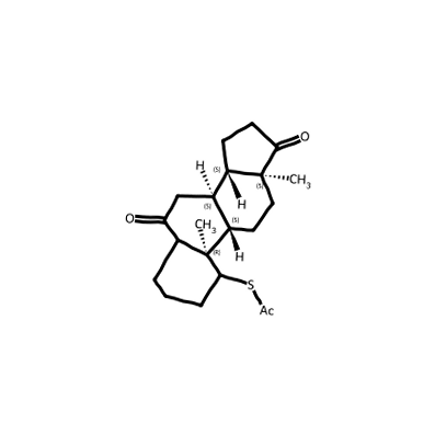 CC(=O)SC1CCCC2C(=O)C[C@@H]3[C@H](CC[C@]4(C)C(=O)CC[C@@H]34)[C@@]12C